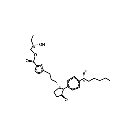 CCCCC[C@H](O)c1ccc(N2C(=O)CC[C@@H]2CCCc2ccc(C(=O)OC[C@@H](O)CC)s2)cc1